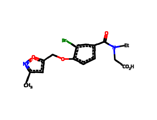 CCN(CC(=O)O)C(=O)c1ccc(OCc2cc(C)no2)c(Br)c1